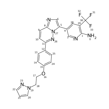 Nc1ncc(-c2cnc3ccc(-c4ccc(OCCn5cccn5)cc4)nn23)cc1C(F)(F)F